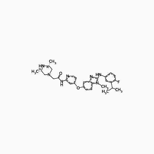 CC(C)c1cc(Nc2nc3cc(Oc4ccnc(NC(=O)CN5C[C@@H](C)N[C@@H](C)C5)c4)ccc3n2C)ccc1F